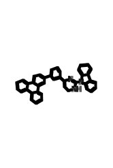 C1=C(c2cccc(-c3ccc4c5ccccc5c5ccccc5c4c3)c2)N=C(n2c3ccccc3c3ccccc32)NC1